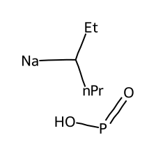 CCC[CH]([Na])CC.O=PO